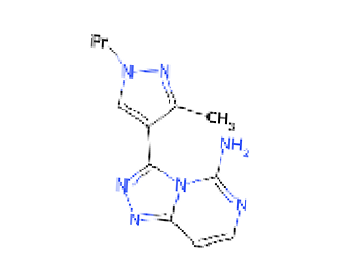 Cc1nn(C(C)C)cc1-c1nnc2ccnc(N)n12